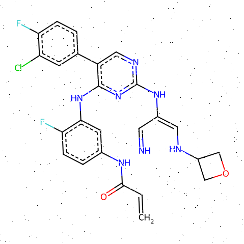 C=CC(=O)Nc1ccc(F)c(Nc2nc(N/C(C=N)=C/NC3COC3)ncc2-c2ccc(F)c(Cl)c2)c1